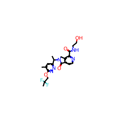 Cc1cc(C(C)N2Cc3c(ccnc3C(=O)NCCO)C2=O)nnc1OCC(C)(F)F